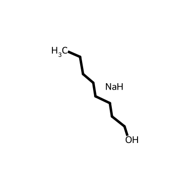 CCCCCCCCO.[NaH]